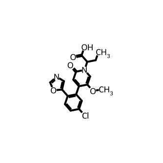 CCC(C(=O)O)n1cc(OC)c(-c2cc(Cl)ccc2-c2cnco2)cc1=O